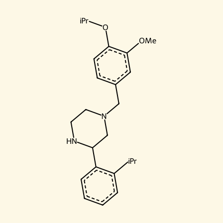 COc1cc(CN2CCNC(c3ccccc3C(C)C)C2)ccc1OC(C)C